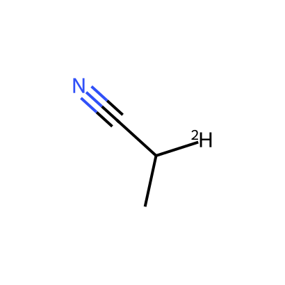 [2H]C(C)C#N